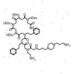 CCCCCCCCCCN(CC(N)=O)C(=O)CN(CCCCCCCCCC)C(=O)CN(CCCCCCCCCC)C(=O)CN(CCCCCCCCCC)C(=O)CN(CCc1ccccc1)C(=O)CN(CCc1ccccc1)C(=O)CN(CCN)C(=O)CNCCCN1CCN(CCCN)CC1